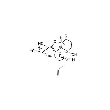 C=CCN1CC[C@]23c4c5ccc(O)c4O[C@H]2C(=O)CC[C@@]3(O)[C@H]1C5.Cl.O